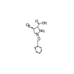 O=C=C1CN(OCc2ccccc2)NC1C(=O)O